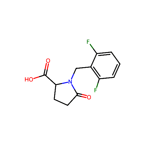 O=C(O)C1CCC(=O)N1Cc1c(F)cccc1F